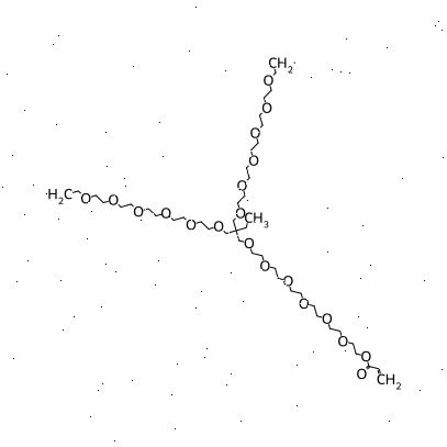 [CH2]COCCOCCOCCOCCOCCOCC(CC)(COCCOCCOCCOCCOCCOC[CH2])COCCOCCOCCOCCOCCOCCOC(=O)C=C